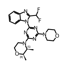 C[C@H]1OCCN(c2nc(N3CCOCC3)nc(-n3c(C(F)F)nc4ccccc43)n2)[C@H]1C